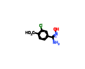 N/C(=N/O)c1ccc(C(=O)O)c(Cl)c1